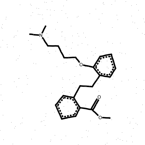 COC(=O)c1ccccc1CCc1ccccc1OCCCCN(C)C